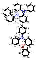 c1ccc(N2c3ccccc3N(c3cccc4ccccc34)c3cc(-c4ccc(N(c5ccccc5)c5cccc6c5oc5ccccc56)cc4)ccc32)cc1